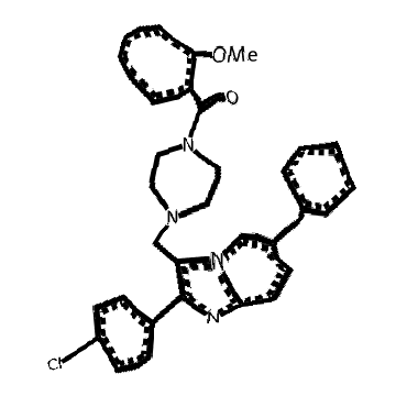 COc1ccccc1C(=O)N1CCN(Cc2c(-c3ccc(Cl)cc3)nc3ccc(-c4ccccc4)cn23)CC1